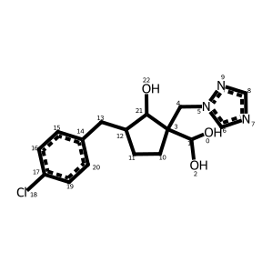 OC(O)C1(Cn2cncn2)CCC(Cc2ccc(Cl)cc2)C1O